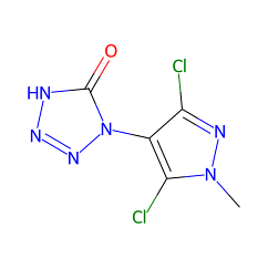 Cn1nc(Cl)c(-n2nn[nH]c2=O)c1Cl